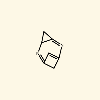 C1=C2CC1=NC1CC1=N2